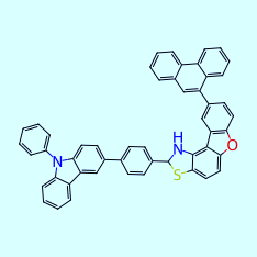 c1ccc(-n2c3ccccc3c3cc(-c4ccc(C5Nc6c(ccc7oc8ccc(-c9cc%10ccccc%10c%10ccccc9%10)cc8c67)S5)cc4)ccc32)cc1